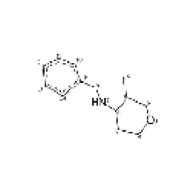 FC1COCCC1NCc1ccccc1